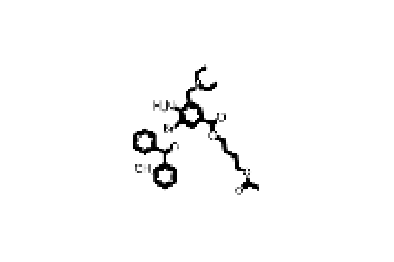 C.CCN(CC)Cc1cc(C(=O)OCCCCOC(C)=O)cc(Br)c1N.O=C(c1ccccc1)c1ccccc1